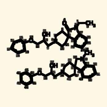 CCN1C(=O)C2(CCN(CC(O)COc3ccccc3)CC2)c2ccccc21.CN1CC2(CCN(CC(O)COc3ccccc3)CC2)c2ccccc21